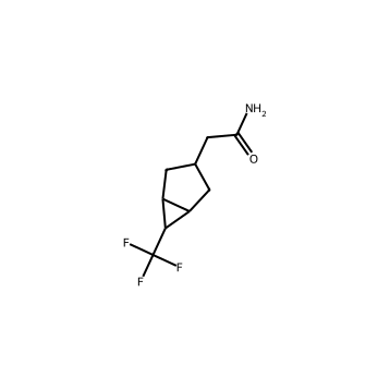 NC(=O)CC1CC2C(C1)C2C(F)(F)F